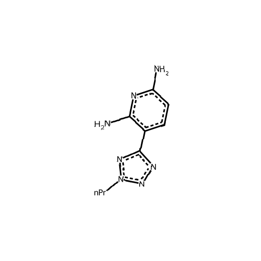 CCCn1nnc(-c2ccc(N)nc2N)n1